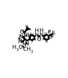 CC(C)n1nc(-c2ccc(NC(=O)Nc3cccc(C(F)(F)F)c3)cc2)c2c(NC(=O)C3CC3)ncnc21